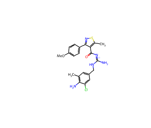 COc1ccc(-c2nsc(C)c2C(=O)/N=C(/N)NCc2cc(C)c(N)c(Cl)c2)cc1